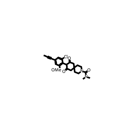 CC#Cc1cc(Cl)c(C2C(=O)CC3(CCN(C(=O)N(C)C)CC3)CC2=O)c(OC)c1